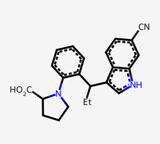 CCC(c1ccccc1N1CCCC1C(=O)O)c1c[nH]c2cc(C#N)ccc12